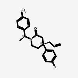 Bc1ccc([C@H](C)N2CC[C@@](CC=C)(c3ccc(F)cc3)CC2=O)cc1